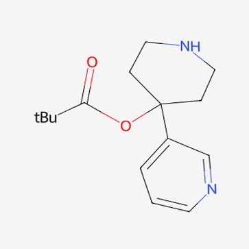 CC(C)(C)C(=O)OC1(c2cccnc2)CCNCC1